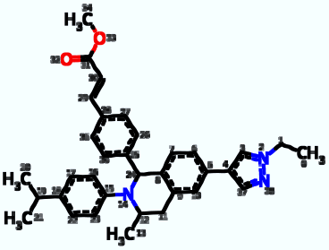 CCn1cc(-c2ccc3c(c2)CC(C)N(c2ccc(C(C)C)cc2)C3c2ccc(/C=C/C(=O)OC)cc2)cn1